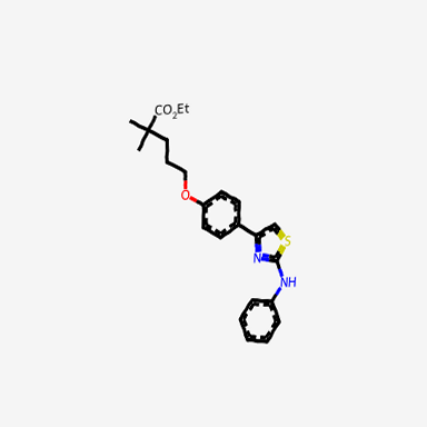 CCOC(=O)C(C)(C)CCCOc1ccc(-c2csc(Nc3ccccc3)n2)cc1